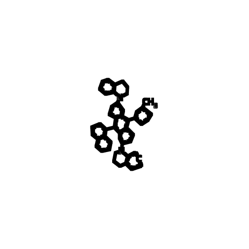 Cc1cccc(-c2c3cc(N4CCCc5ccccc54)ccc3c(-c3cccc4ccccc34)c3cc(N4CCCc5ccccc54)ccc23)c1